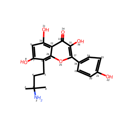 CC(C)(N)CCc1c(O)cc(O)c2c(=O)c(O)c(-c3ccc(O)cc3)oc12